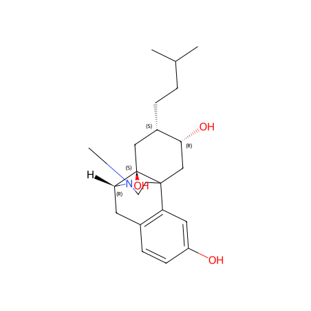 CC(C)CC[C@H]1C[C@@]2(O)[C@H]3Cc4ccc(O)cc4C2(CCN3C)C[C@H]1O